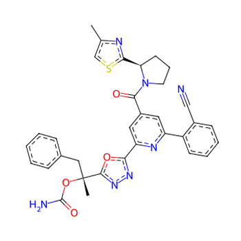 Cc1csc([C@H]2CCCN2C(=O)c2cc(-c3nnc([C@@](C)(Cc4ccccc4)OC(N)=O)o3)nc(-c3ccccc3C#N)c2)n1